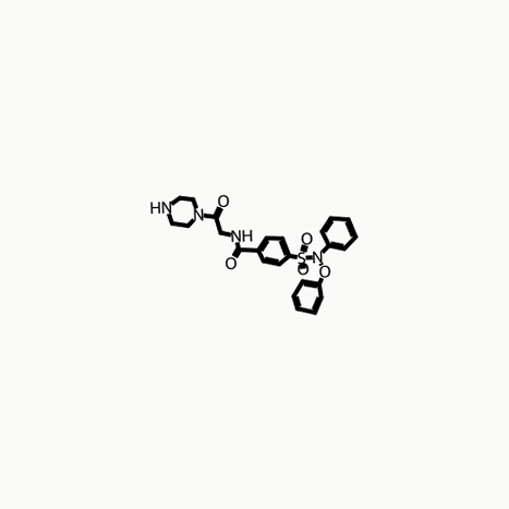 O=C(NCC(=O)N1CCNCC1)c1ccc(S(=O)(=O)N(Oc2ccccc2)c2ccccc2)cc1